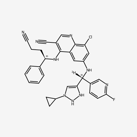 [2H][C@](Nc1cc(Cl)c2ncc(C#N)c(N[C@H](CCC#N)c3ccccc3)c2c1)(C1=CN(C2CC2)NN1)c1ccc(F)nc1